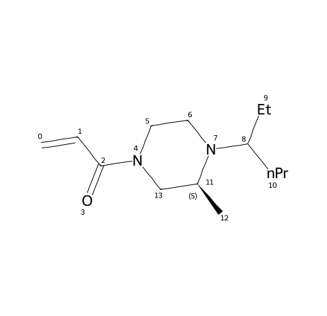 C=CC(=O)N1CCN(C(CC)CCC)[C@@H](C)C1